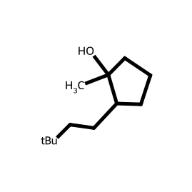 CC(C)(C)CCC1CCCC1(C)O